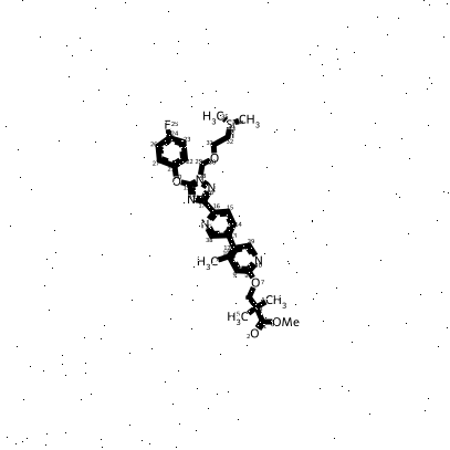 COC(=O)C(C)(C)COc1cc(C)c(-c2ccc(-c3nc(Oc4ccc(F)cc4)n(COCC[SiH](C)C)n3)nc2)cn1